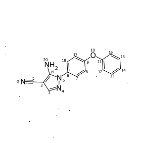 N#Cc1cnn(-c2ccc(Oc3ccccc3)cc2)c1N